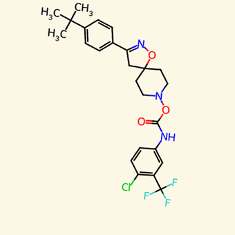 CC(C)(C)c1ccc(C2=NOC3(CCN(OC(=O)Nc4ccc(Cl)c(C(F)(F)F)c4)CC3)C2)cc1